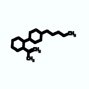 C=C(C)C1CCCCC1C1CCC(CCCCC)CC1